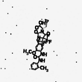 COc1cc(CN2C(=O)N([C@@H](CC3CC3)C(=O)O)C(=O)C2(C(F)(F)F)C(F)(F)F)ccc1NC(=O)Nc1ccccc1C